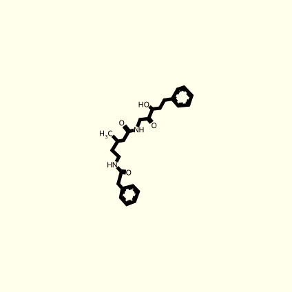 CC(CCNC(=O)Cc1ccccc1)CC(=O)NCC(=O)C(O)CCc1ccccc1